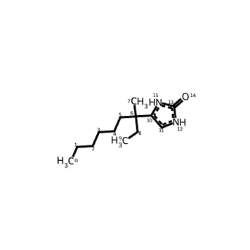 CCCCCCC(C)(CC)c1c[nH]c(=O)[nH]1